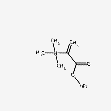 C=C(C(=O)OCCC)[N+](C)(C)C